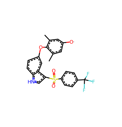 Cc1cc([O])cc(C)c1Oc1ccc2[nH]cc(S(=O)(=O)c3ccc(C(F)(F)F)cc3)c2c1